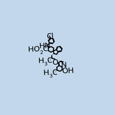 C[C@@H]1Cc2c(OC[C@H](C)C[C@H]3Cc4ccccc4C34CCC(Nc3cccc(Cl)c3)(C(=O)O)CC4)ccnc2[C@@H](O)C1